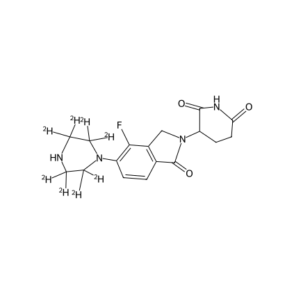 [2H]C1([2H])NC([2H])([2H])C([2H])([2H])N(c2ccc3c(c2F)CN(C2CCC(=O)NC2=O)C3=O)C1([2H])[2H]